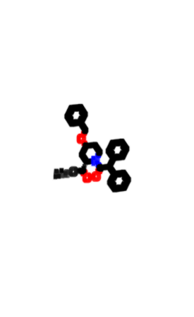 COC(=O)[C@@H]1CC(OCc2ccccc2)CCN1C(=O)C(c1ccccc1)c1ccccc1